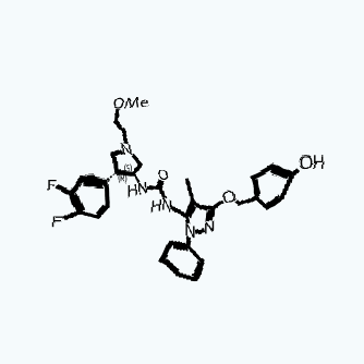 COCCN1C[C@@H](NC(=O)Nc2c(C)c(OCc3ccc(O)cc3)nn2-c2ccccc2)[C@H](c2ccc(F)c(F)c2)C1